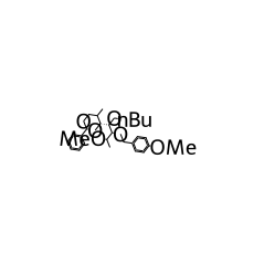 CCCCOC(C(OCc1ccc(OC)cc1)[C@H](C)OC)[C@@H]1OC(c2ccccc2)OCC1C